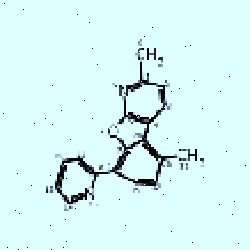 Cc1ccc2c(n1)oc1c(-c3ccccn3)ccc(C)c12